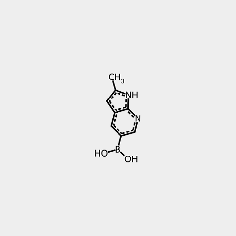 Cc1cc2cc(B(O)O)cnc2[nH]1